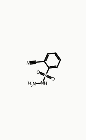 N#Cc1ccccc1S(=O)(=O)NN